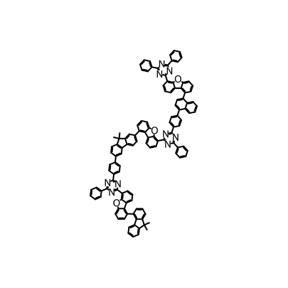 CC1(C)c2ccc(-c3ccc(-c4nc(-c5ccccc5)nc(-c5cccc6c5oc5cccc(-c7cccc8c7-c7ccccc7C8(C)C)c56)n4)cc3)cc2-c2ccc(-c3cccc4oc5c(-c6nc(-c7ccccc7)nc(-c7ccc(-c8ccc(-c9cccc%10oc%11c(-c%12nc(-c%13ccccc%13)nc(-c%13ccccc%13)n%12)cccc%11c9%10)c9ccccc89)cc7)n6)cccc5c34)cc21